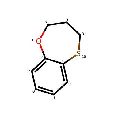 c1ccc2c(c1)OCCCS2